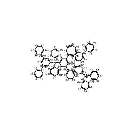 C1#CCC(c2cc(S(c3ccccc3)(c3ccccc3)c3cc(-c4ccccc4)cc(-c4ccccc4)c3)cc(-c3ccccc3)c2-n2c3c(c4cc(-n5c6ccccc6c6ccccc65)ccc42)C=C(c2ccccc2)CC3)=CC=C1